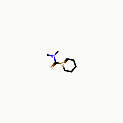 CN(C)C(=S)S1=CCCCC1